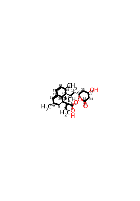 CC[C@](C)(C(=O)O)[C@H]1C[C@H](C)C=C2C=C[C@@H](C)[C@@H](CC[C@@H]3C[C@H](O)CC(=O)O3)[C@H]21